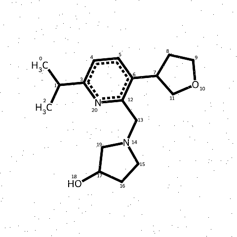 CC(C)c1ccc(C2CCOC2)c(CN2CCC(O)C2)n1